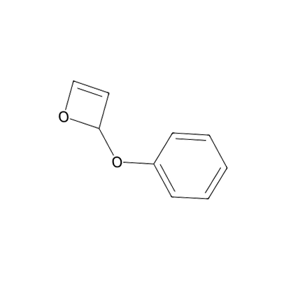 C1=CC(Oc2ccccc2)O1